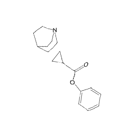 C1CN2CCC1CC2.O=C(Oc1ccccc1)C1CC1